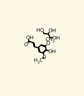 COc1cc(C=CC(=O)O)cc(OC)c1O.OCC(O)CO